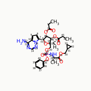 CCC(=O)O[C@H]1[C@H](c2ccc3c(N)ncnn23)O[C@](C)(CO[P@](=O)(N[C@@H](C)C(=O)OCC2CC2)Oc2ccccc2)[C@H]1OC(=O)CC